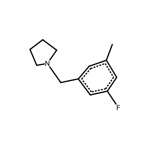 Cc1cc(F)cc(CN2CCCC2)c1